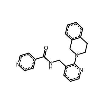 O=C(NCc1cccnc1N1CCc2ccccc2C1)c1ccncc1